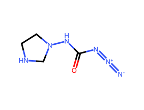 [N-]=[N+]=NC(=O)NN1CCNC1